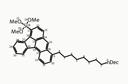 CCCCCCCCCCCCCCCCCCc1cccc2c3c4c(c([Si](OC)(OC)OC)ccc4cc12)-c1ccccc1-3